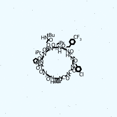 CC[C@H](C)[C@@H]1NC(=O)[C@H](C)N(C)C(=O)C[C@@H](C(=O)N2CCCC2)NC(=O)[C@H](CC(C)C)N(C)C(=O)[C@H](COCC(=O)NC(C)(C)C)NC(=O)[C@H](CC(C)C)NC(=O)[C@H](CCc2ccc(C(F)(F)F)cc2)NC(=O)CN(C)C(=O)[C@H](Cc2ccc(Cl)cc2)N(C)C(=O)CN(C)C(=O)CN(C)C1=O